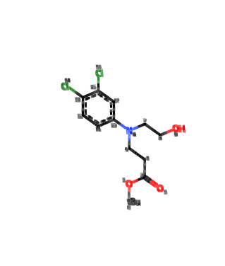 CC(C)(C)OC(=O)CCN(CCO)c1ccc(Cl)c(Cl)c1